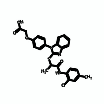 Cc1ccc(NC(=O)C(C)Sc2nc3ccccc3n2-c2ccc(OCC(=O)O)cc2)c(Cl)c1